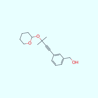 CC(C)(C#Cc1cccc(CO)c1)OC1CCCCO1